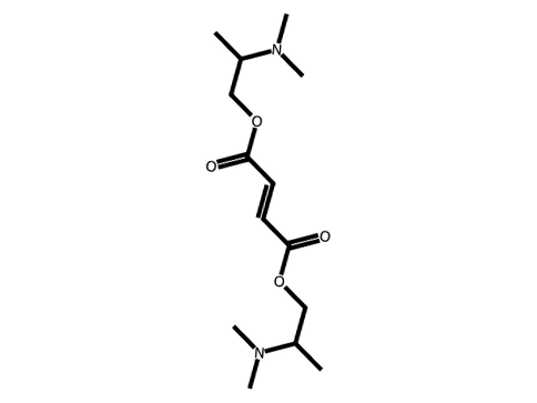 CC(COC(=O)/C=C/C(=O)OCC(C)N(C)C)N(C)C